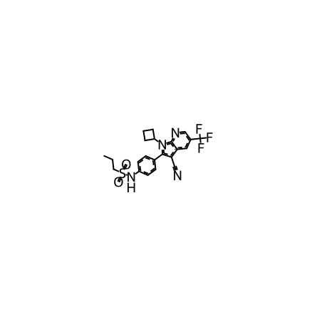 CCCS(=O)(=O)Nc1ccc(-c2c(C#N)c3cc(C(F)(F)F)cnc3n2C2CCC2)cc1